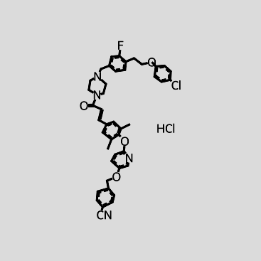 Cc1cc(C=CC(=O)N2CCN(Cc3ccc(CCOc4ccc(Cl)cc4)c(F)c3)CC2)cc(C)c1Oc1ccc(OCc2ccc(C#N)cc2)cn1.Cl